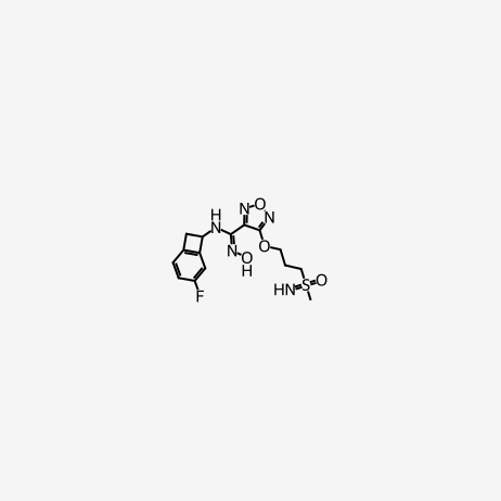 CS(=N)(=O)CCCOc1nonc1C(=NO)NC1Cc2ccc(F)cc21